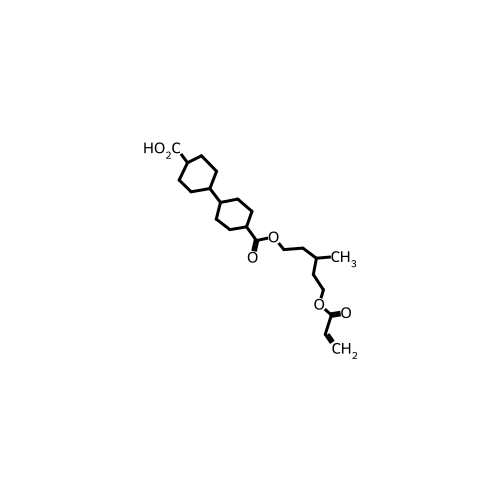 C=CC(=O)OCCC(C)CCOC(=O)C1CCC(C2CCC(C(=O)O)CC2)CC1